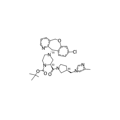 Cc1cn(C[C@@H]2CCN(C(=O)[C@@H]3CN([C@H]4c5ccc(Cl)cc5OCc5cccnc54)CCN3C(=O)OC(C)(C)C)C2)cn1